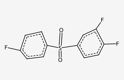 O=S(=O)(c1ccc(F)cc1)c1ccc(F)c(F)c1